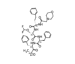 C[C@@]1(C(=O)[C@H](Cc2ccccc2)NC(=O)[C@H](Cc2ccccc2)NC(=O)[C@H](COC(F)F)NC(=O)[C@H](CCc2ccccc2)NC(=O)CN2CCOCC2)CO1